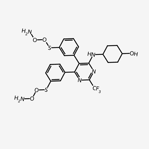 NOOSc1cccc(-c2nc(C(F)(F)F)nc(NC3CCC(O)CC3)c2-c2cccc(SOON)c2)c1